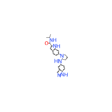 CC(C)NC(=O)c1cc2ccc(N3CCCC3Nc3ccc4[nH]ncc4c3)cc2[nH]1